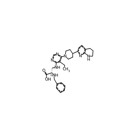 CCc1c(NC[C@H](NCc2ccccc2)C(=O)O)ncnc1N1CCC(c2ccc3c(n2)NCCC3)CC1